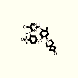 Cc1cc(N2CCC3(CC2)CC(=O)C3)c(N)cc1Nc1ncc(Cl)c(Nc2ccccc2P(C)(C)=O)n1